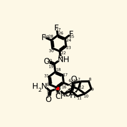 NC(=O)OCC1=CC2CCC(C1)[C@@H]2S(=O)(=O)c1cc(C(=O)Nc2cc(F)c(F)c(F)c2)ccc1Cl